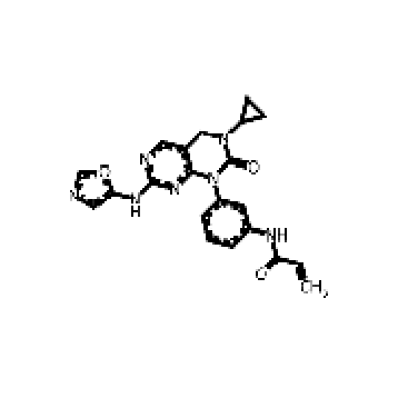 C=CC(=O)Nc1cccc(N2C(=O)N(C3CC3)Cc3cnc(Nc4cnco4)nc32)c1